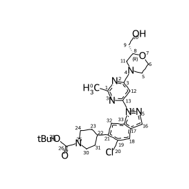 Cc1nc(N2CCO[C@@H](CO)C2)cc(-n2ncc3cc(Cl)c(C4CCN(C(=O)OC(C)(C)C)CC4)cc32)n1